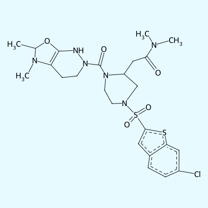 CC1OC2=C(CCN(C(=O)N3CCN(S(=O)(=O)c4cc5ccc(Cl)cc5s4)CC3CC(=O)N(C)C)N2)N1C